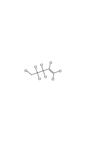 ClCC(Cl)(Cl)C(Cl)(Cl)C(Cl)=C(Cl)Cl